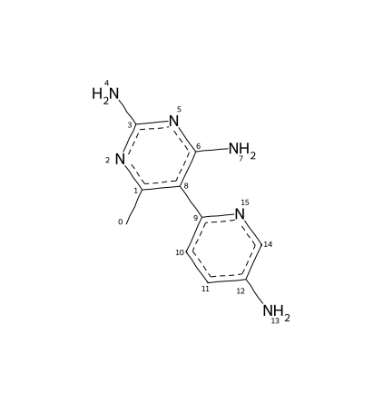 Cc1nc(N)nc(N)c1-c1ccc(N)cn1